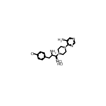 Cl.Cl.Nc1cncnc1N1CCN(C(=O)C(N)Cc2ccc(Cl)cc2)CC1